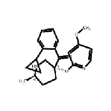 COc1ccnc(O[C@]2(C(=O)c3ccccc3C3CC3)CC[C@@H](C)NC2)c1